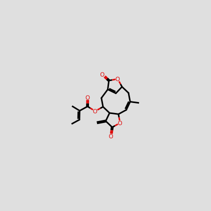 C=C1C(=O)OC2C=C(C)CC3C=C(CC(OC(=O)C(C)=CC)C12)C(=O)O3